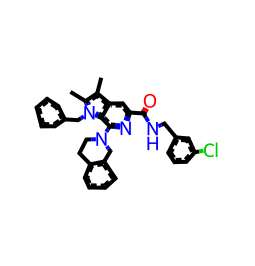 Cc1c(C)n(Cc2ccccc2)c2c(N3CCc4ccccc4C3)nc(C(=O)NCc3cccc(Cl)c3)cc12